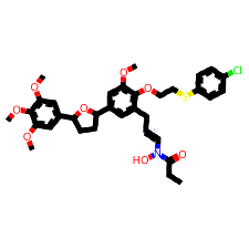 CCC(=O)N(O)/C=C/Cc1cc(C2CCC(c3cc(OC)c(OC)c(OC)c3)O2)cc(OC)c1OCCSc1ccc(Cl)cc1